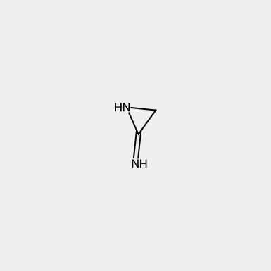 N=C1CN1